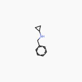 [c]1ccccc1CNC1CC1